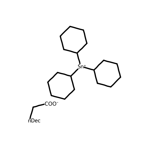 C1CC[CH]([Sn+]([CH]2CCCCC2)[CH]2CCCCC2)CC1.CCCCCCCCCCCC(=O)[O-]